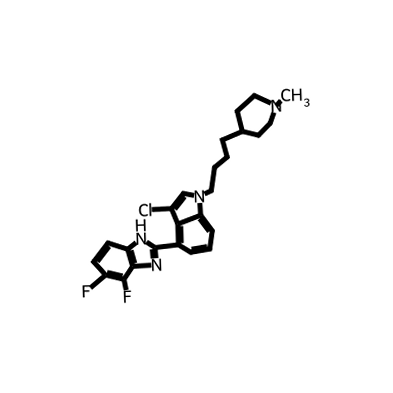 CN1CCC(CCCCn2cc(Cl)c3c(-c4nc5c(F)c(F)ccc5[nH]4)cccc32)CC1